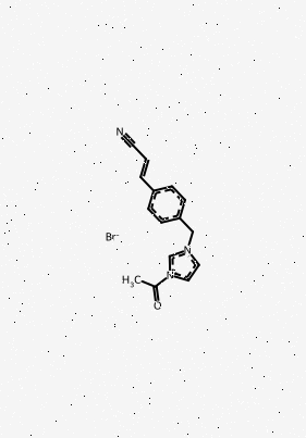 CC(=O)[n+]1ccn(Cc2ccc(/C=C/C#N)cc2)c1.[Br-]